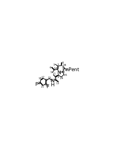 C=C/C(C)=C(/C(=C)C)N1/C(=C(\C)C(=C)NCc2ccc(F)cc2F)CCC1C(C)CCCCC